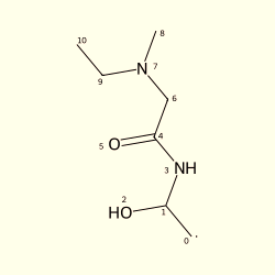 [CH2]C(O)NC(=O)CN(C)CC